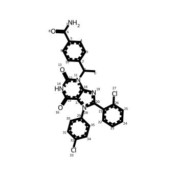 CC(c1ccc(C(N)=O)cc1)n1c(=O)[nH]c(=O)c2c1nc(-c1ccccc1Cl)n2-c1ccc(Cl)cc1